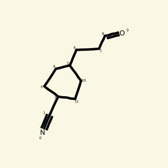 N#CC1CCC(CCC=O)CC1